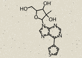 CC1(O)C(O)C(CO)OC1n1cnc2c(-c3ccsc3)ncnc21